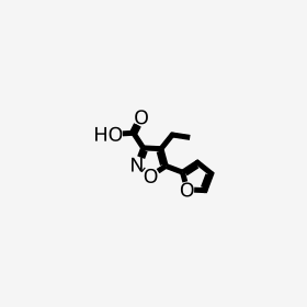 CCc1c(C(=O)O)noc1-c1ccco1